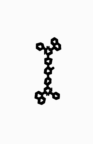 Cc1cc(-c2ccc(-c3cc(-c4cccc5ccccc45)nc(-c4ccccc4)n3)cc2)ccc1-c1ccc(-c2cc(-c3cccc4ccccc34)nc(-c3ccccc3)n2)cc1